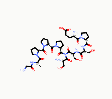 C[C@H](NC(=O)CN)C(=O)N1CCC[C@H]1C(=O)N1CCC[C@H]1C(=O)N1CCC[C@H]1C(=O)N(C(=O)[C@H](CO)NC(=O)[C@H](CO)NC(=O)[C@@H]1CCCN1C(=O)[C@@H](N)CCC(=O)O)C(=O)[C@@H](N)CO